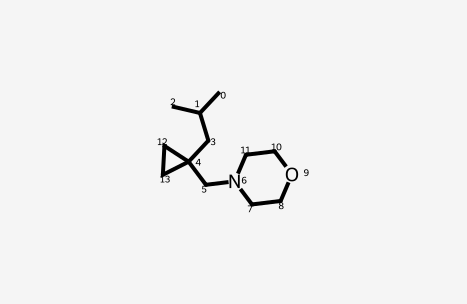 CC(C)CC1(CN2CCOCC2)CC1